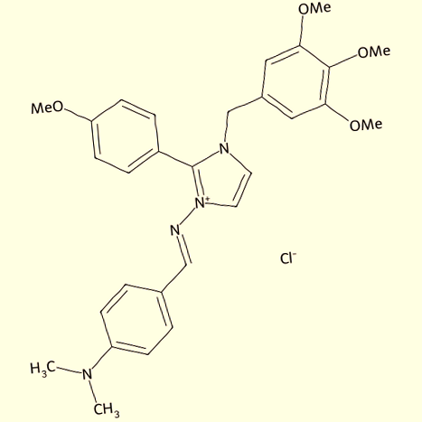 COc1ccc(-c2n(Cc3cc(OC)c(OC)c(OC)c3)cc[n+]2N=Cc2ccc(N(C)C)cc2)cc1.[Cl-]